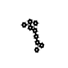 c1ccc(-n2c3ccccc3c3cc(-c4ccc(-c5ccc6c(c5)c5ccc7c(c8ccccc8n7-c7ccccc7)c5n6-c5ccccc5)cc4)ccc32)cc1